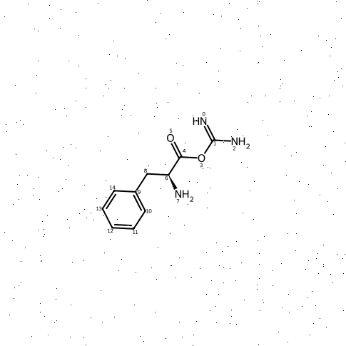 N=C(N)OC(=O)[C@@H](N)Cc1ccccc1